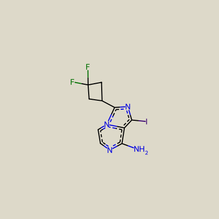 Nc1nccn2c(C3CC(F)(F)C3)nc(I)c12